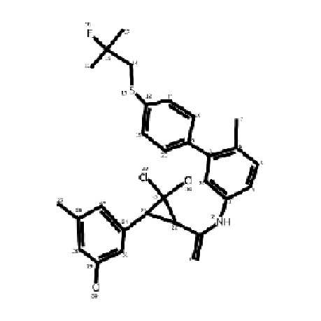 C=C(Nc1ccc(C)c(-c2ccc(SCC(C)(C)F)cc2)c1)C1C(c2cc(C)cc(Cl)c2)C1(Cl)Cl